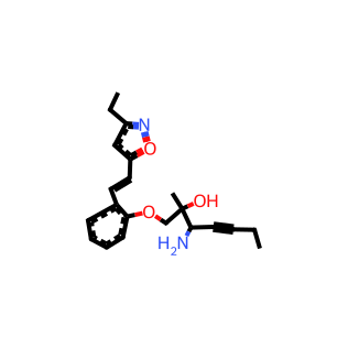 CCC#CC(N)C(C)(O)COc1ccccc1C=Cc1cc(CC)no1